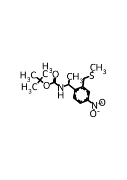 CSCc1cc([N+](=O)[O-])ccc1C(C)NC(=O)OC(C)(C)C